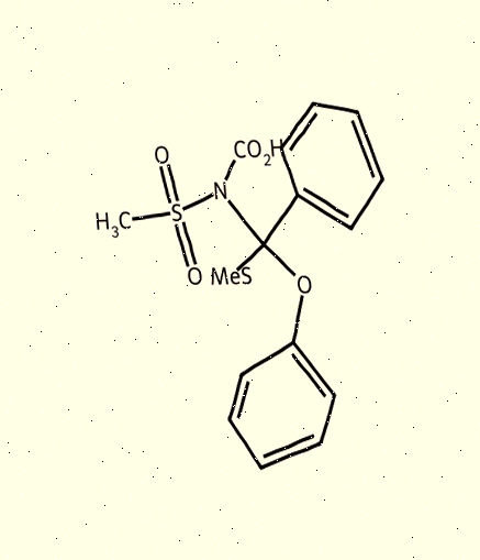 CSC(Oc1ccccc1)(c1ccccc1)N(C(=O)O)S(C)(=O)=O